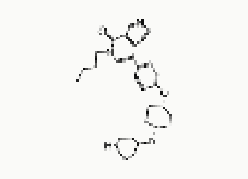 CCCCn1cc(-c2ccc(O[C@H]3CC[C@@H](OC4CCNCC4)CC3)cc2)c2ccncc2c1=O